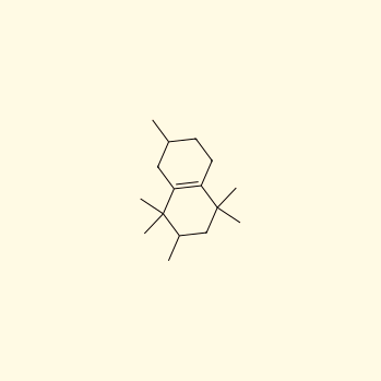 CC1CCC2=C(C1)C(C)(C)C(C)CC2(C)C